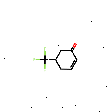 O=C1C=CCC(C(F)(F)F)C1